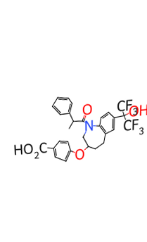 CC(C(=O)N1CC(Oc2ccc(C(=O)O)cc2)CCc2cc(C(O)(C(F)(F)F)C(F)(F)F)ccc21)c1ccccc1